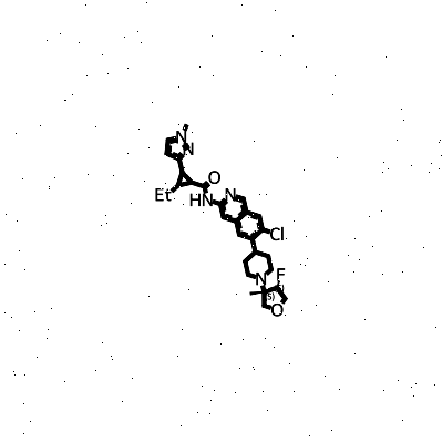 CCC1C(C(=O)Nc2cc3cc(C4CCN([C@@]5(C)COC[C@H]5F)CC4)c(Cl)cc3cn2)C1c1ccn(C)n1